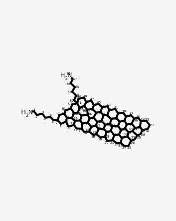 NCCCCCCC1CC2CC3CC4CC5CC6CC7CC8CC9CCC%10CC%11CC%12CCCC%13CC%14CC%15CC%16CC%17CC%18CC%19CC%20CCC%21(CCCCCCN)CC%22CC(C1)C2C1C3C2C4C3C5C4C6C5C7C6C8C7C9C%10C8C%11C(C%12%13)C%14C9C%15C%10C%16C%11C%17C%12C%18C%13C%19C%14C(C3C%13C4C%12C5C%11C6C%10C7C89)C2C(C%221)C%21C%20%14